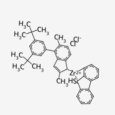 CC1=Cc2c(ccc(C)c2-c2cc(C(C)(C)C)cc(C(C)(C)C)c2)[CH]1[Zr+2]1[c]2cccc3c2[SiH]1c1ccccc1-3.[Cl-].[Cl-]